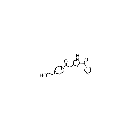 O=C(CC1CNC(C(=O)N2CCSC2)C1)N1CCN(CCO)CC1